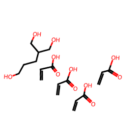 C=CC(=O)O.C=CC(=O)O.C=CC(=O)O.C=CC(=O)O.OCCCC(CO)CO